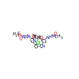 COCC(=O)N1CC2(CN(Cc3ccc(-c4cccc(-c5ccnc(-c6ccc(CN7CC8(C7)CN(C(C)=O)C8)c(OC)c6)c5Cl)c4Cl)nc3OC)C2)C1